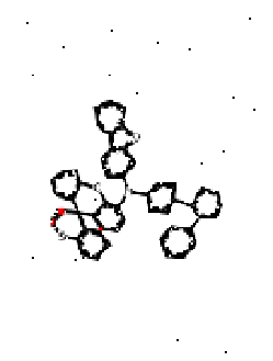 c1ccc(-c2ccccc2-c2ccc(N(c3ccc4c(c3)oc3ccccc34)c3cccc4c3Oc3ccccc3C43c4ccccc4Sc4ccccc43)cc2)cc1